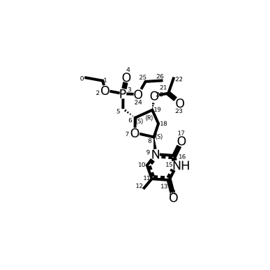 CCOP(=O)(C[C@H]1O[C@H](n2cc(C)c(=O)[nH]c2=O)C[C@H]1OC(C)=O)OCC